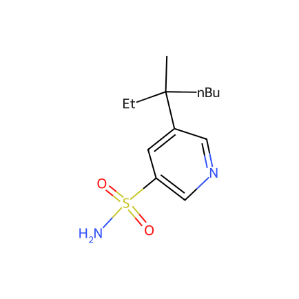 CCCCC(C)(CC)c1cncc(S(N)(=O)=O)c1